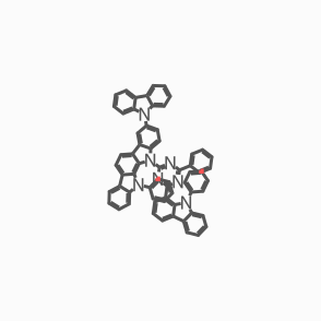 c1ccc(-c2nc(-c3cccc4c5ccccc5n(-c5ccccc5)c34)nc(-n3c4ccc(-n5c6ccccc6c6ccccc65)cc4c4ccc5c6ccccc6n(-c6ccccc6)c5c43)n2)cc1